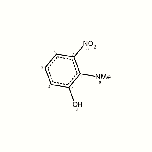 CNc1c(O)cccc1[N+](=O)[O-]